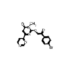 Cn1c(OCC(=O)c2ccc(Br)cc2)nc(-c2ccncn2)cc1=O